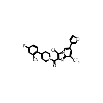 N#Cc1cc(F)ccc1C1=CCN(C(=O)c2nc3c(C(F)(F)F)cc(-c4ccoc4)cn3c2Cl)CC1